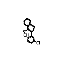 CSc1c(-c2cccc(Cl)c2)ccc2ccccc12